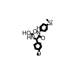 COc1ccc(C(NC(=O)O)C(=O)Nc2ccc([Si](C)(C)C)cc2)cc1